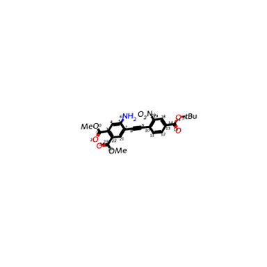 COC(=O)c1cc(N)c(C#Cc2ccc(C(=O)OC(C)(C)C)cc2[N+](=O)[O-])cc1C(=O)OC